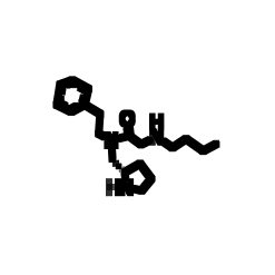 CCCCNCC(=O)N(CCc1ccccc1)C[C@@H]1CCCN1